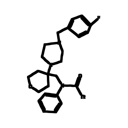 CCC(=O)N(CC1(N2CCN(Cc3ccc(F)cc3)CC2)CCOCC1)c1ccccc1